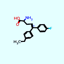 CCc1ccc(/C(=C\CC(N)C(=O)O)c2ccc(F)cc2)cc1